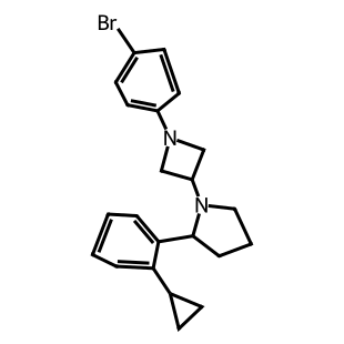 Brc1ccc(N2CC(N3CCCC3c3ccccc3C3CC3)C2)cc1